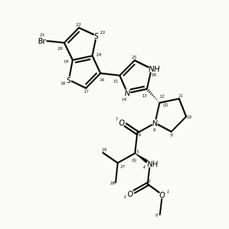 COC(=O)N[C@H](C(=O)N1CCC[C@H]1c1nc(-c2csc3c(Br)csc23)c[nH]1)C(C)C